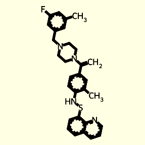 C=C(c1ccc(NSc2cccc3cccnc23)c(C)c1)N1CCN(Cc2cc(C)cc(F)c2)CC1